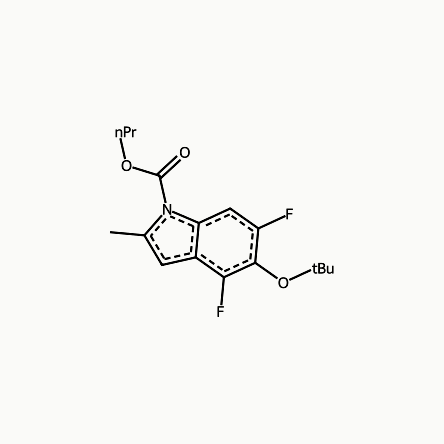 CCCOC(=O)n1c(C)cc2c(F)c(OC(C)(C)C)c(F)cc21